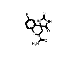 NC(=O)[C@@H]1CC2(NC(=O)NC2=O)c2cc(F)ccc2O1